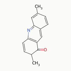 Cc1ccc2cc3c(nc2c1)C=CC(C)C3=O